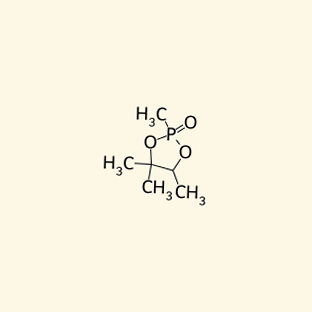 CC1OP(C)(=O)OC1(C)C